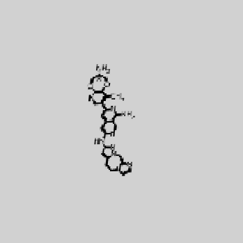 Cc1c(-c2cc3cc(Nc4cc5n(n4)Cc4nccn4CC5)ncc3c(N)n2)cnc2c1OC[C@@H](N)CO2